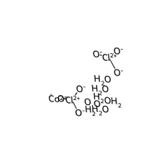 O.O.O.O.O.O.[Co+2].[O-][Cl+2]([O-])[O-].[O-][Cl+2]([O-])[O-]